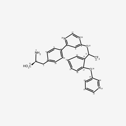 N[C@@H](Cc1ccc(-c2cc(OC(c3ccccc3Oc3cccnc3)C(F)(F)F)ncn2)cc1)C(=O)O